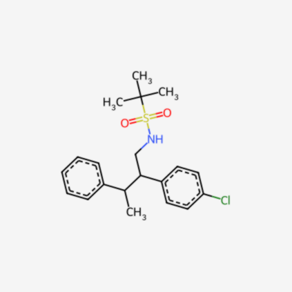 CC(c1ccccc1)C(CNS(=O)(=O)C(C)(C)C)c1ccc(Cl)cc1